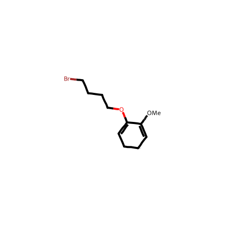 COC1=C[CH]CC=C1OCCCCBr